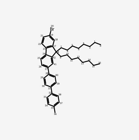 CCCCCCCCC1(CCCCCCCC)c2cc(Br)ccc2-c2ccc(-c3ccc(-c4ccc(C)cc4)cc3)cc21